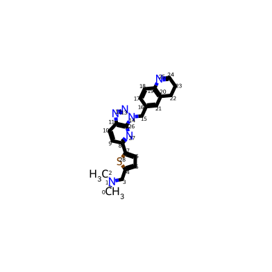 CN(C)Cc1ccc(-c2ccc3nnn(Cc4ccc5c(c4)CCC=N5)c3n2)s1